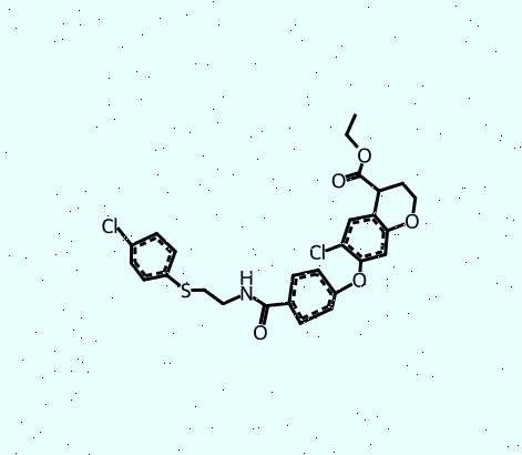 CCOC(=O)C1CCOc2cc(Oc3ccc(C(=O)NCCSc4ccc(Cl)cc4)cc3)c(Cl)cc21